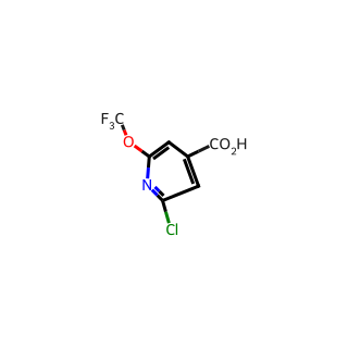 O=C(O)c1cc(Cl)nc(OC(F)(F)F)c1